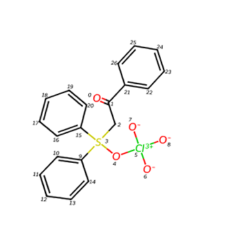 O=C(CS(O[Cl+3]([O-])([O-])[O-])(c1ccccc1)c1ccccc1)c1ccccc1